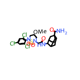 COC1CN(CC(=O)NC2C3CC4CC2CC(C(N)=O)(C4)C3)S(=O)(=O)N(c2c(Cl)cc(Cl)cc2Cl)C1